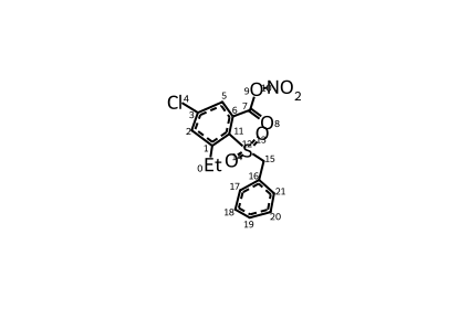 CCc1cc(Cl)cc(C(=O)O[N+](=O)[O-])c1S(=O)(=O)Cc1ccccc1